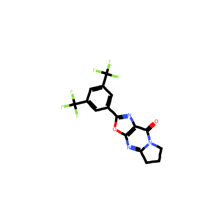 O=c1c2nc(-c3cc(C(F)(F)F)cc(C(F)(F)F)c3)oc2nc2n1CCC2